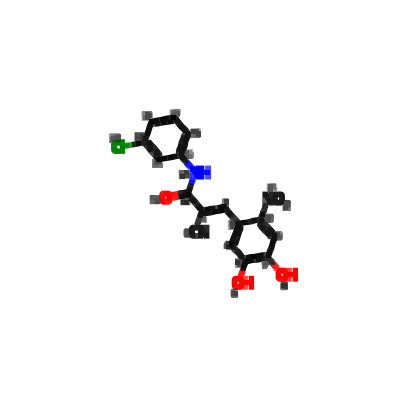 N#C/C(=C\c1cc(O)c(O)cc1[N+](=O)[O-])C(=O)Nc1cccc(Cl)c1